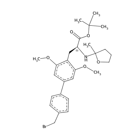 COc1cc(-c2ccc(CBr)cc2)cc(OC)c1C[C@H](NC1(C)CCCO1)C(=O)OC(C)(C)C